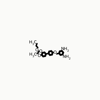 CCCCOC(=O)[C@@H](C)Oc1ccc(-c2ccc(OCc3cc(N)cc(N)c3)cc2)cc1